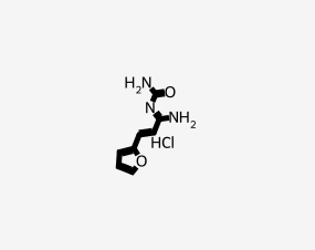 Cl.NC(=O)N=C(N)C=Cc1ccco1